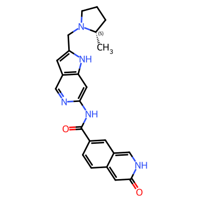 C[C@H]1CCCN1Cc1cc2cnc(NC(=O)c3ccc4cc(=O)[nH]cc4c3)cc2[nH]1